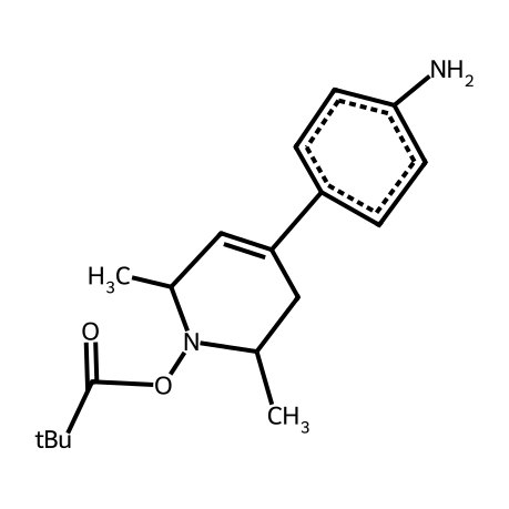 CC1C=C(c2ccc(N)cc2)CC(C)N1OC(=O)C(C)(C)C